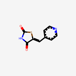 O=C1NC(=O)C(=Cc2ccncc2)S1